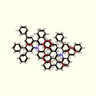 c1ccc(-c2cccc(-c3c(N(c4ccc(-c5ccccc5)c(-c5ccccc5)c4)c4ccc(-c5cccc(-c6ccccc6-c6c(N(c7cc(-c8ccccc8)cc(-c8ccccc8)c7)c7ccccc7-c7ccccc7)c7ccccc7c7ccccc67)c5)cc4-c4ccccc4)c4ccccc4c4ccccc34)c2)cc1